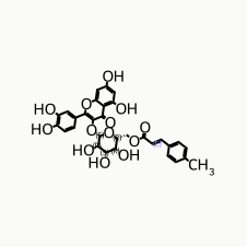 Cc1ccc(/C=C/C(=O)OC[C@H]2O[C@@H](Oc3c(-c4ccc(O)c(O)c4)oc4cc(O)cc(O)c4c3=O)[C@H](O)[C@@H](O)[C@H]2O)cc1